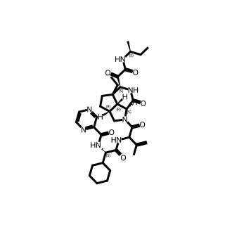 C=C(C)C(NC(=O)[C@@H](NC(=O)c1cnccn1)C1CCCCC1)C(=O)N1C[C@@H]2CCC3(CC)[C@@H]2[C@H]1C(=O)N[C@@H]3C(=O)C(=O)N[C@@H](C)CC